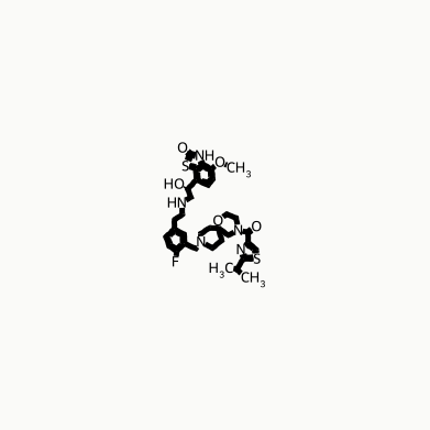 COc1ccc([C@@H](O)CNCCc2ccc(F)c(CN3CCC4(CC3)CN(C(=O)c3csc(C(C)C)n3)CCO4)c2)c2sc(=O)[nH]c12